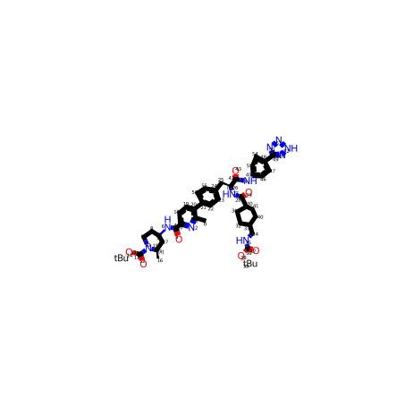 Cc1nc(C(=O)N[C@@H]2CCN(C(=O)OC(C)(C)C)[C@H](C)C2)ccc1-c1ccc(C[C@H](NC(=O)C2CCC(CNC(=O)OC(C)(C)C)CC2)C(=O)Nc2ccc(-c3nn[nH]n3)cc2)cc1